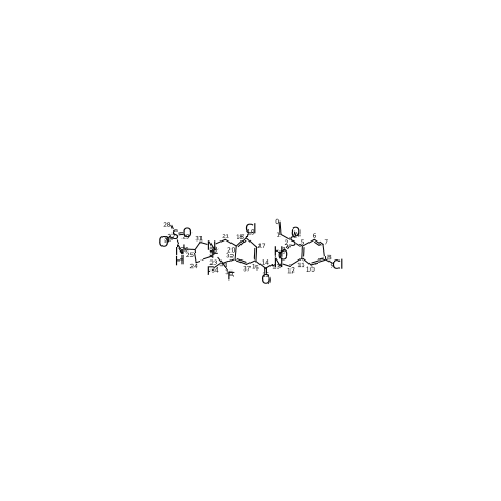 CCS(=O)(=O)c1ccc(Cl)cc1CNC(=O)c1cc(Cl)c(CN2CCC(NS(C)(=O)=O)C2)c(C(F)(F)F)c1